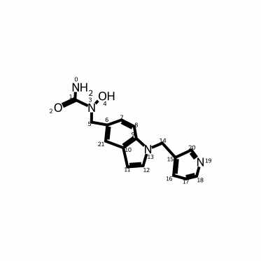 NC(=O)N(O)Cc1ccc2c(ccn2Cc2cccnc2)c1